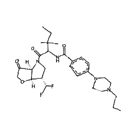 CCCN1CCN(c2ccc(C(=O)NC(C(=O)N3C[C@H](C(F)F)[C@H]4OCC(=O)[C@H]43)C(C)(C)CC)cc2)CC1